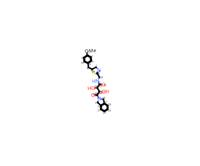 COc1ccc(CC2CN=C(CNC(=O)[C@H](O)[C@@H](O)C(=O)N3Cc4ccccc4C3)S2)cc1